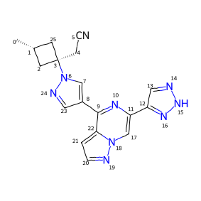 C[C@H]1C[C@](CC#N)(n2cc(-c3nc(-c4cn[nH]n4)cn4nccc34)cn2)C1